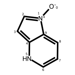 [O-][n+]1ccc2[nH]cccc1-2